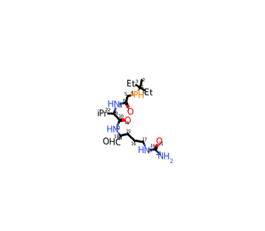 CCC(C)(CC)PCC(=O)NC(C(=O)N[C@H](C=O)CCCNC(N)=O)C(C)C